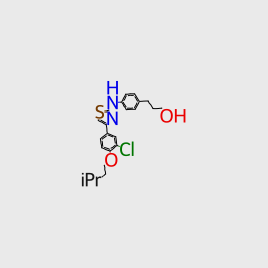 CC(C)CCOc1ccc(-c2csc(Nc3ccc(CCCO)cc3)n2)cc1Cl